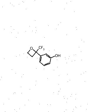 Oc1cccc(C2(C(F)(F)F)CCO2)c1